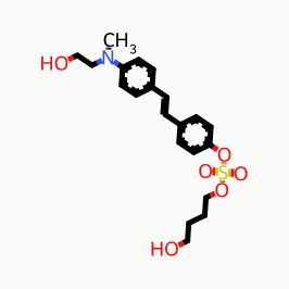 CN(CCO)c1ccc(C=Cc2ccc(OS(=O)(=O)OCCCCO)cc2)cc1